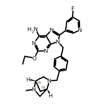 CCOc1nc(N)c2nc(-c3cncc(F)c3)n(Cc3ccc(CN4C[C@@H]5C[C@H]4CN5C)cc3)c2n1